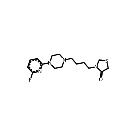 O=C1CSCN1CCCCN1CCN(c2cccc(F)n2)CC1